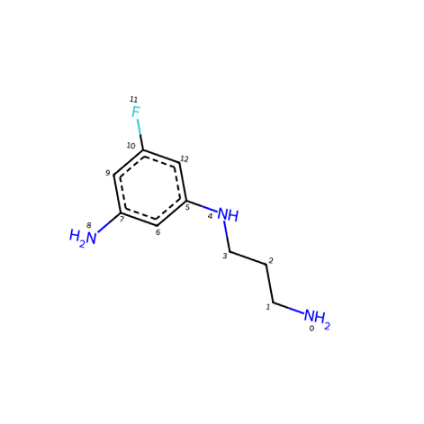 NCCCNc1cc(N)cc(F)c1